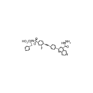 NNC(=O)c1cc(-c2ccc(C#Cc3ccc(S(=O)(=O)NC(Cc4ccccc4)C(=O)O)cc3F)cc2)nc2ccncc12